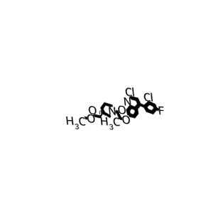 CCOC(=O)C[C@H]1CCCN(C(=O)C(C)Oc2ccc3c(-c4ccc(F)cc4Cl)cc(Cl)nc3c2)C1